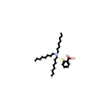 CCCCCCCCN(CCCCCCCC)CCCCCCCC.O=C(O)c1ccccc1S